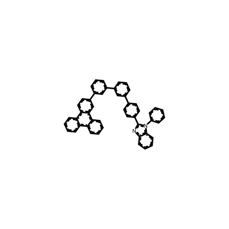 c1ccc(-n2c(-c3ccc(-c4cccc(-c5cccc(-c6ccc7c8ccccc8c8ccccc8c7c6)c5)c4)cc3)nc3ccccc32)cc1